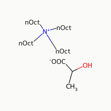 CC(O)C(=O)[O-].CCCCCCCC[N+](CCCCCCCC)(CCCCCCCC)CCCCCCCC